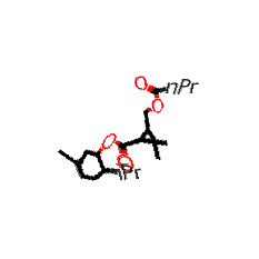 CCCC(=O)OCC1C(C(=O)OC2CC(C)CCC2C(C)C)C1(C)C